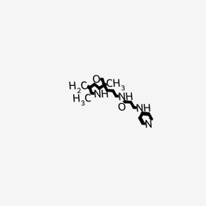 C=C1C(C)NC2C1OCC2(C)CCCNC(=O)CCNc1ccncc1